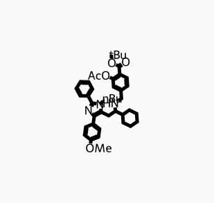 CCCCn1c(-c2ccccc2)nc(-c2ccc(OC)cc2)c1CC(NCc1ccc(C(=O)OC(C)(C)C)c(OC(C)=O)c1)C1CCCCC1